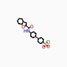 O=C(Nc1ccc(-c2ccc(S(=O)(=O)Cl)cc2)cc1)c1cc2ccccc2o1